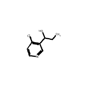 CCC(O)c1cnccc1Cl